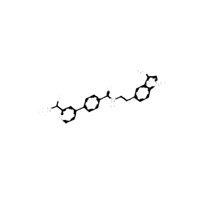 CC(=O)C(N)c1cc(-c2ccc(C(=O)NCCc3ccc4[nH]cc(C#N)c4c3)cc2)ccn1